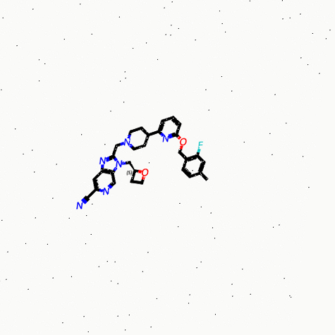 Cc1ccc(COc2cccc(C3CCN(Cc4nc5cc(C#N)ncc5n4C[C@@H]4CCO4)CC3)n2)c(F)c1